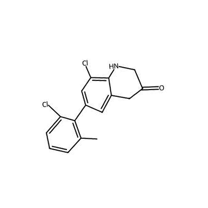 Cc1cccc(Cl)c1-c1cc(Cl)c2c(c1)CC(=O)CN2